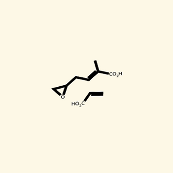 C=CC(=O)O.CC(=CCC1CO1)C(=O)O